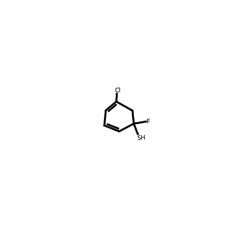 FC1(S)C=CC=C(Cl)C1